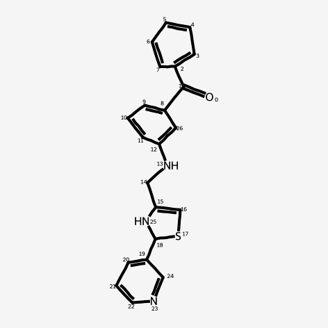 O=C(c1ccccc1)c1cccc(NCC2=CSC(c3cccnc3)N2)c1